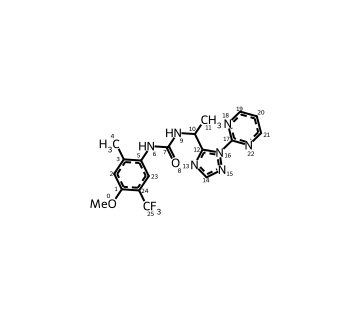 COc1cc(C)c(NC(=O)NC(C)c2ncnn2-c2ncccn2)cc1C(F)(F)F